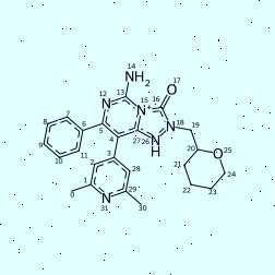 Cc1cc(-c2c(-c3ccccc3)nc(N)[n+]3c(=O)n(CC4CCCCO4)[nH]c23)cc(C)n1